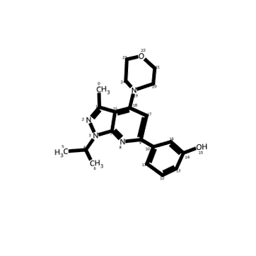 Cc1nn(C(C)C)c2nc(-c3cccc(O)c3)cc(N3CCOCC3)c12